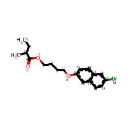 CCC(C)C(=O)OCCCCOc1ccc2cc(Br)ccc2c1